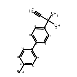 C#CC(C)(O)c1ccc(-c2ccc(Br)cc2)cc1